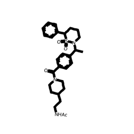 CC(=O)NCCC1CCN(C(=O)c2ccc(C(C)N3CCCC(c4ccccc4)S3(=O)=O)cc2)CC1